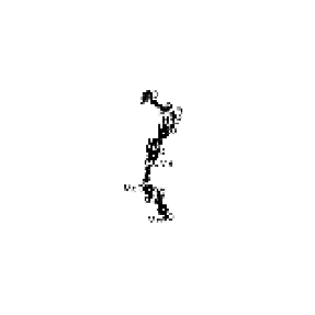 COC(=O)c1ccc(C2=CN3C(=O)c4cc(OC)c(OCCCCCOc5cc6c(cc5OC)C(=O)N5C=C(c7ccc(NC(=O)[C@H](C)NC(=O)[C@@H](NC(=O)CCCCCN8C(=O)C=CC8=O)C(C)C)cc7)C[C@H]5C=N6)cc4NC[C@@H]3C2)cc1